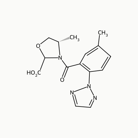 Cc1ccc(-n2nccn2)c(C(=O)N2C(C(=O)O)OC[C@@H]2C)c1